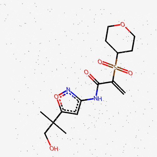 C=C(C(=O)Nc1cc(C(C)(C)CO)on1)S(=O)(=O)C1CCOCC1